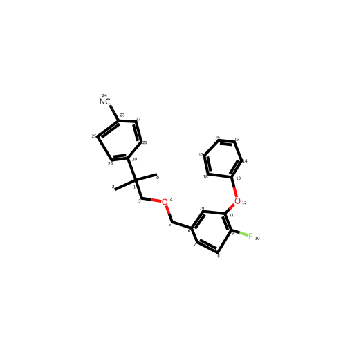 CC(C)(COCc1ccc(F)c(Oc2ccccc2)c1)c1ccc(C#N)cc1